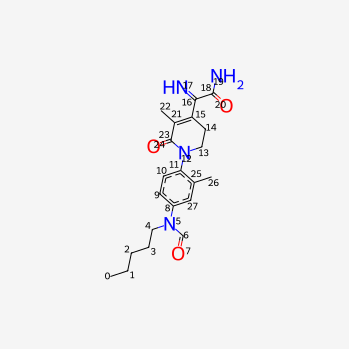 CCCCCN(C=O)c1ccc(N2CCC(C(=N)C(N)=O)=C(C)C2=O)c(C)c1